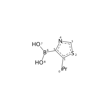 CC(C)c1scnc1B(O)O